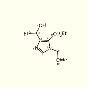 CCOC(=O)c1c(C(O)CC)ncn1COC